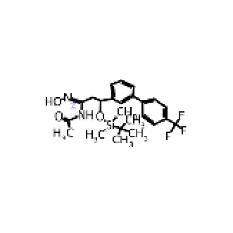 CC(=O)N/C(CC(O[Si](C)(C)C(C)(C)C)c1cccc(-c2ccc(C(F)(F)F)cc2)c1)=N\O